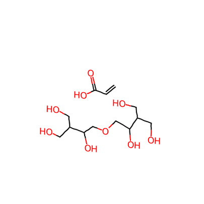 C=CC(=O)O.OCC(CO)C(O)COCC(O)C(CO)CO